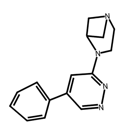 c1ccc(-c2cnnc(N3CCN4CC3C4)c2)cc1